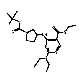 CCOC(=O)c1cnc(N(CC)CC)nc1NC1CCN(C(=O)OC(C)(C)C)C1